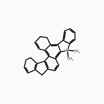 C[Si]1(C)c2ccccc2-c2c3c(c4c5c(ccc4c21)CC1=C5CCC=C1)C=CCC3